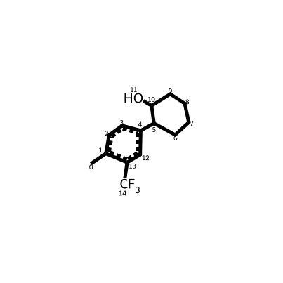 Cc1ccc(C2CCCCC2O)cc1C(F)(F)F